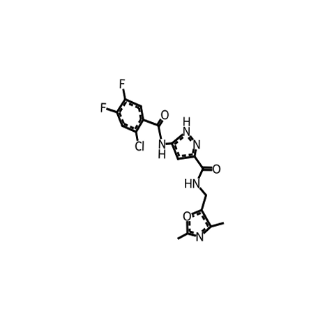 Cc1nc(C)c(CNC(=O)c2cc(NC(=O)c3cc(F)c(F)cc3Cl)[nH]n2)o1